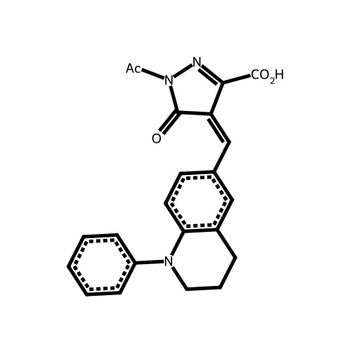 CC(=O)N1N=C(C(=O)O)/C(=C/c2ccc3c(c2)CCCN3c2ccccc2)C1=O